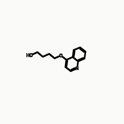 OCCCCOc1ccnc2ccccc12